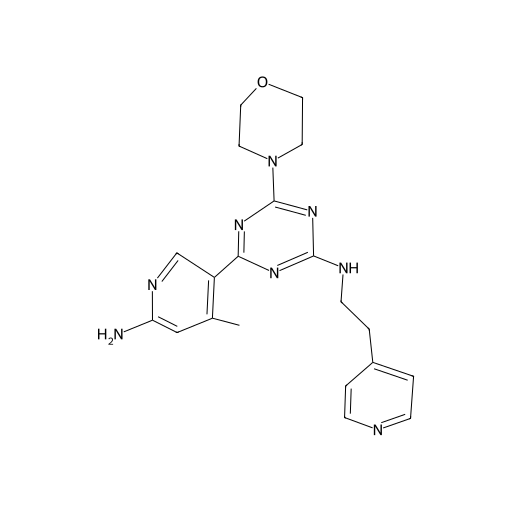 Cc1cc(N)ncc1-c1nc(NCCc2ccncc2)nc(N2CCOCC2)n1